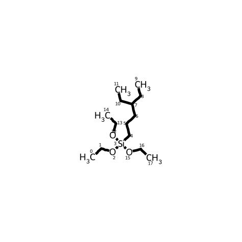 CCO[Si](CCCC(CC)CC)(OCC)OCC